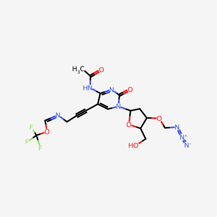 CC(=O)Nc1nc(=O)n(C2CC(OCN=[N+]=[N-])C(CO)O2)cc1C#CC/N=C\OC(F)(F)F